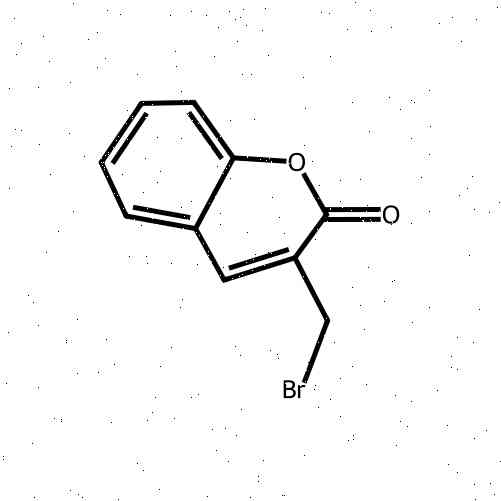 O=c1oc2ccccc2cc1CBr